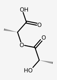 C[C@H](O)C(=O)O[C@H](C)C(=O)O